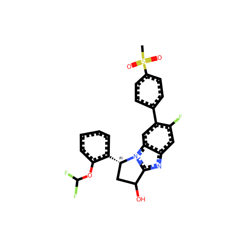 CS(=O)(=O)c1ccc(-c2cc3c(cc2F)nc2n3[C@@H](c3ccccc3OC(F)F)CC2O)cc1